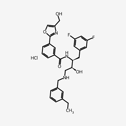 CCc1cccc(CNC[C@H](O)[C@H](Cc2cc(F)cc(F)c2)NC(=O)c2cccc(-c3nc(CO)co3)c2)c1.Cl